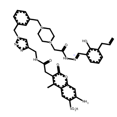 C=CCc1cccc(/C=N/NC(=O)CN2CCN(Cc3cccc(Cn4cc(CNC(=O)Cc5c(C)c6cc(S(=O)(=O)O)c(N)cc6oc5=O)nn4)c3)CC2)c1O